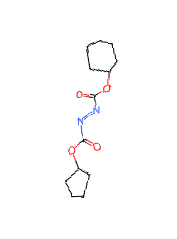 O=C(N=NC(=O)OC1CCCC1)OC1CCCCC1